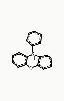 c1ccc([SH]2c3ccccc3Oc3ccccc32)cc1